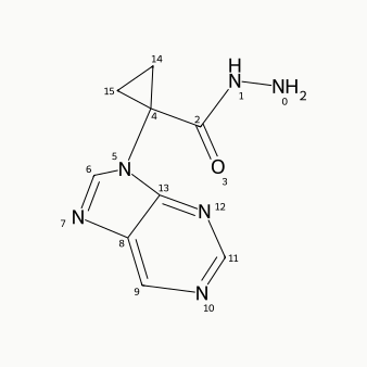 NNC(=O)C1(n2cnc3cncnc32)CC1